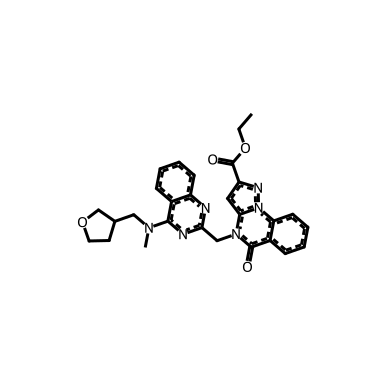 CCOC(=O)c1cc2n(Cc3nc(N(C)CC4CCOC4)c4ccccc4n3)c(=O)c3ccccc3n2n1